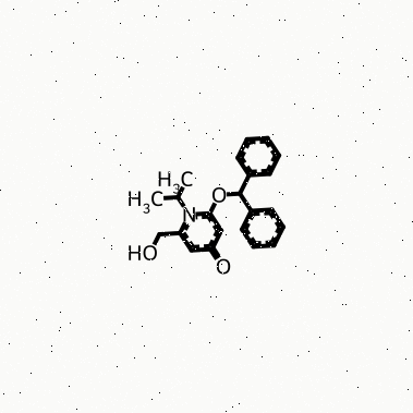 CC(C)n1c(CO)cc(=O)cc1OC(c1ccccc1)c1ccccc1